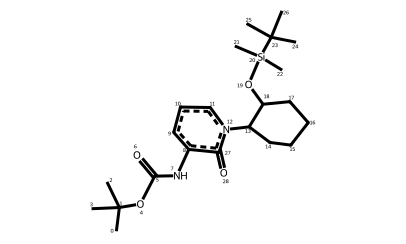 CC(C)(C)OC(=O)Nc1cccn(C2CCCCC2O[Si](C)(C)C(C)(C)C)c1=O